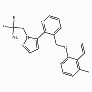 C=Cc1c(C)cccc1OCc1cccnc1-c1ccnn1CC(F)(F)P